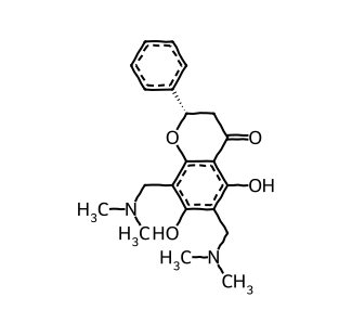 CN(C)Cc1c(O)c(CN(C)C)c2c(c1O)C(=O)C[C@@H](c1ccccc1)O2